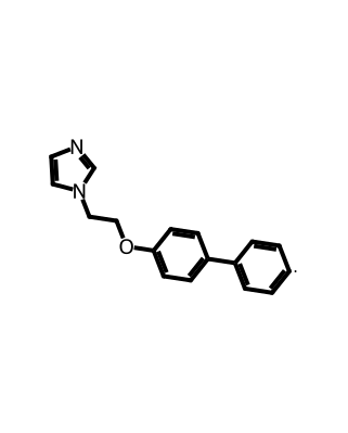 [c]1ccc(-c2ccc(OCCn3ccnc3)cc2)cc1